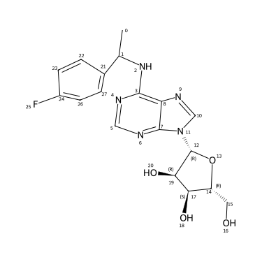 CC(Nc1ncnc2c1ncn2[C@@H]1O[C@H](CO)[C@@H](O)[C@H]1O)c1ccc(F)cc1